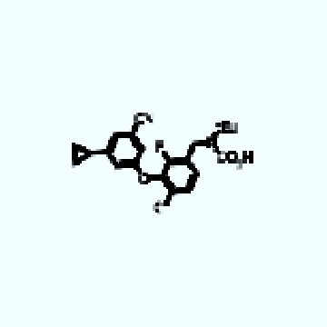 CC(C)(C)N(Cc1ccc(Cl)c(Oc2cc(C#N)cc(C3CC3)c2)c1F)C(=O)O